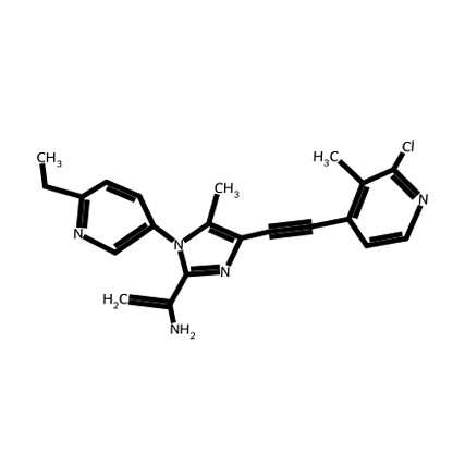 C=C(N)c1nc(C#Cc2ccnc(Cl)c2C)c(C)n1-c1ccc(CC)nc1